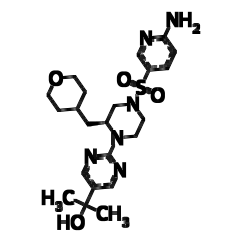 CC(C)(O)c1cnc(N2CCN(S(=O)(=O)c3ccc(N)nc3)C[C@@H]2CC2CCOCC2)nc1